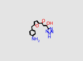 Nc1ccc(Cc2ccc(C(=O)C=C(O)c3nn[nH]n3)o2)cc1